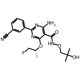 C[C@H](CF)Oc1nc(-c2cccc(C#N)c2)nc(N)c1C(=O)NOCC(C)(C)O